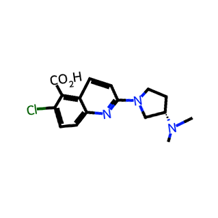 CN(C)[C@H]1CCN(c2ccc3c(C(=O)O)c(Cl)ccc3n2)C1